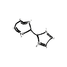 C1=NC(C2N=CC=N2)N=C1